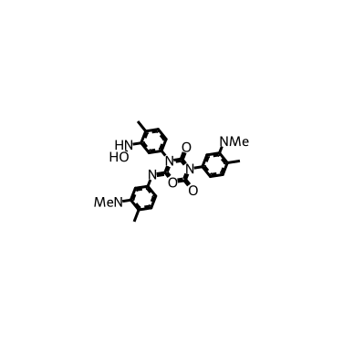 CNc1cc(/N=c2\oc(=O)n(-c3ccc(C)c(NC)c3)c(=O)n2-c2ccc(C)c(NO)c2)ccc1C